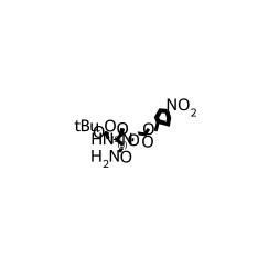 CC(C)(C)OC(=O)N[C@@H]1C(=O)N(OCC(=O)OCc2ccc([N+](=O)[O-])cc2)[C@@H]1C(N)=O